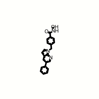 O=C(NO)c1ccc(Cn2ccc3cc(-c4ccccc4)cnc32)cc1